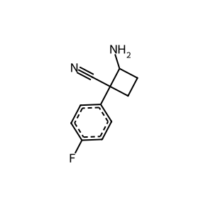 N#CC1(c2ccc(F)cc2)CCC1N